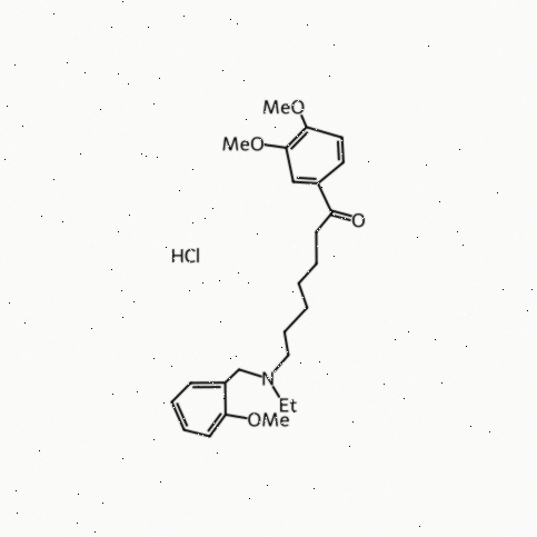 CCN(CCCCCCC(=O)c1ccc(OC)c(OC)c1)Cc1ccccc1OC.Cl